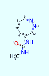 CNC(=O)NC1=CC=CC=NN=C1